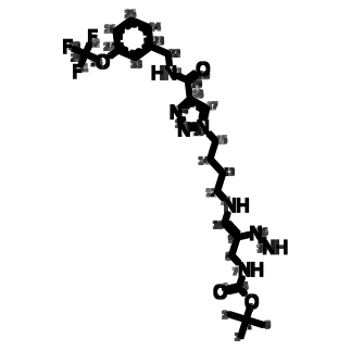 CC(C)(C)OC(=O)NC/C(=C/NCCCCn1cc(C(=O)NCc2cccc(OC(F)(F)F)c2)nn1)N=N